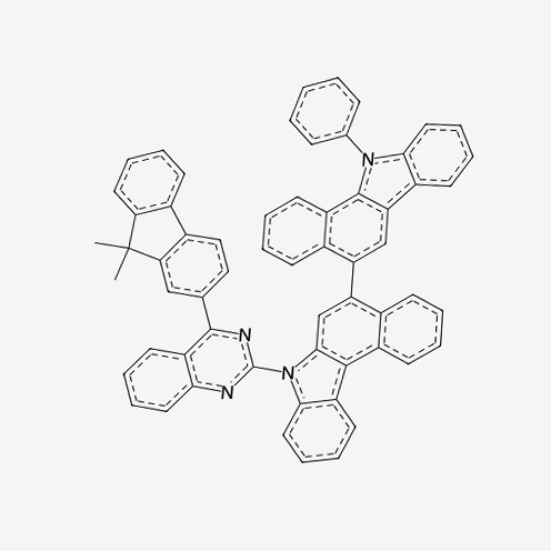 CC1(C)c2ccccc2-c2ccc(-c3nc(-n4c5ccccc5c5c6ccccc6c(-c6cc7c8ccccc8n(-c8ccccc8)c7c7ccccc67)cc54)nc4ccccc34)cc21